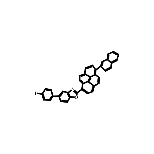 Fc1ccc(-c2ccc3oc(-c4ccc5ccc6c(-c7ccc8ccccc8c7)ccc7ccc4c5c76)nc3c2)cc1